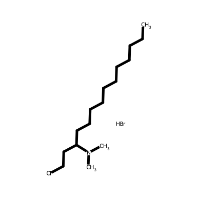 Br.CCCCCCCCCCCC(CCCl)N(C)C